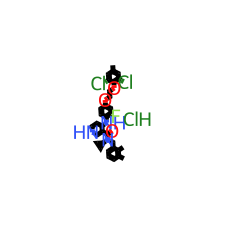 Cc1cc(Cl)c(OCCOc2ccc(NC3CCNCC3C(=O)N(Cc3cccc(C)c3C)C3CC3)c(F)c2)c(Cl)c1.Cl